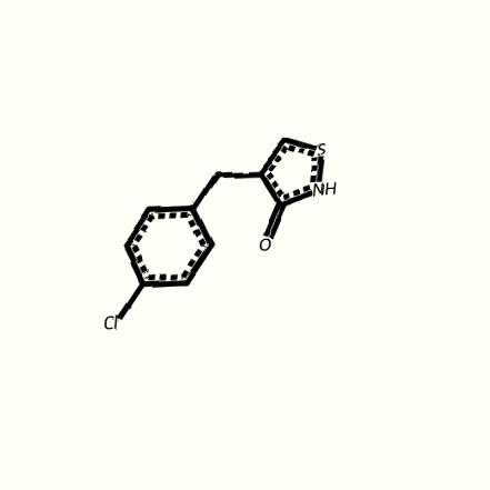 O=c1[nH]scc1Cc1ccc(Cl)cc1